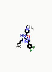 CC(=O)CCCCC[C@H](NC(=O)C1CCN(C)CC1)c1ncc(-c2ccc(F)c(F)c2)[nH]1